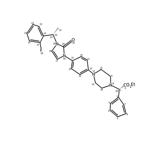 CCOC(=O)[C@H](c1ccccc1)N1CCN(c2ccc(-n3ccn([C@@H](C)c4ccccc4F)c3=O)cc2)CC1